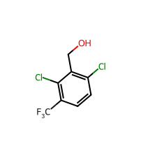 OCc1c(Cl)ccc(C(F)(F)F)c1Cl